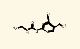 CCNC(=O)Nc1cc(Cl)c(CC)cn1